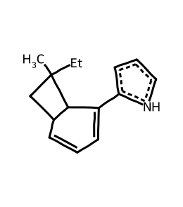 CCC1(C)CC2C=CC=C(c3ccc[nH]3)C21